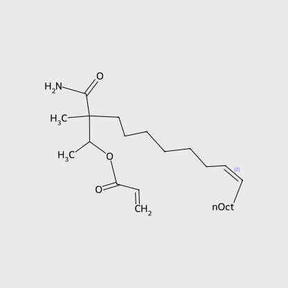 C=CC(=O)OC(C)C(C)(CCCCCC/C=C\CCCCCCCC)C(N)=O